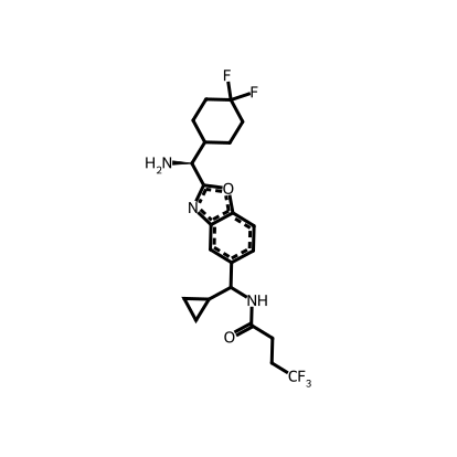 N[C@H](c1nc2cc(C(NC(=O)CCC(F)(F)F)C3CC3)ccc2o1)C1CCC(F)(F)CC1